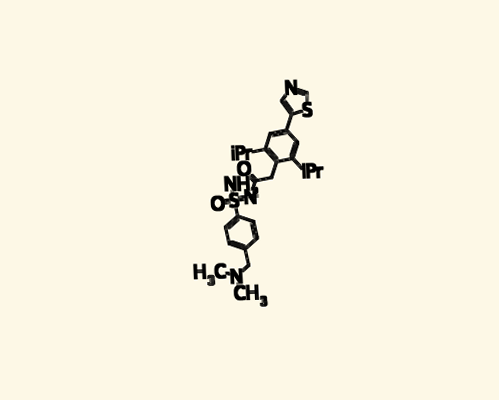 CC(C)c1cc(-c2cncs2)cc(C(C)C)c1CC(=O)N=S(N)(=O)c1ccc(CN(C)C)cc1